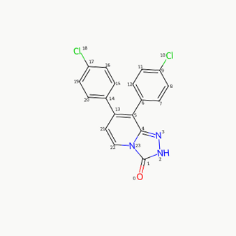 O=c1[nH]nc2c(-c3ccc(Cl)cc3)c(-c3ccc(Cl)cc3)ccn12